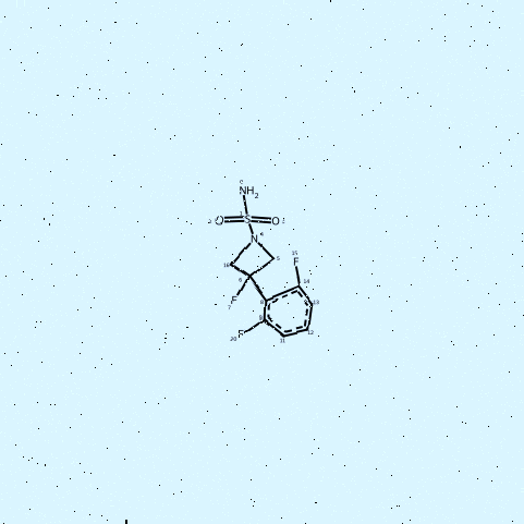 NS(=O)(=O)N1CC(F)(c2c(F)cccc2F)C1